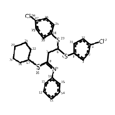 Clc1ccc(SC(CC(=Nc2ccccc2)SC2CCCCC2)Sc2ccc(Cl)cc2)cc1